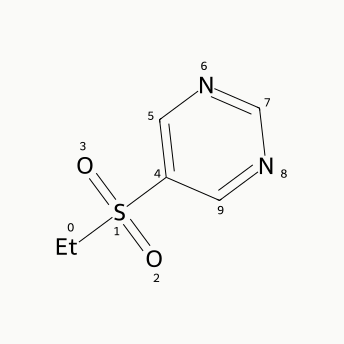 CCS(=O)(=O)c1cncnc1